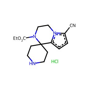 CCOC(=O)N1CCn2c(C#N)ccc2C12CCNCC2.Cl